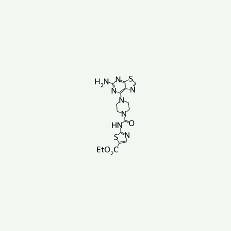 CCOC(=O)c1cnc(NC(=O)N2CCN(c3nc(N)nc4scnc34)CC2)s1